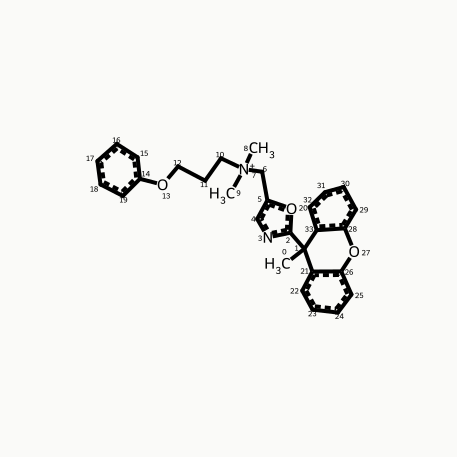 CC1(c2ncc(C[N+](C)(C)CCCOc3ccccc3)o2)c2ccccc2Oc2ccccc21